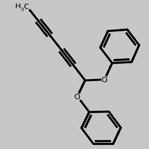 CC#CC#CC(Oc1ccccc1)Oc1ccccc1